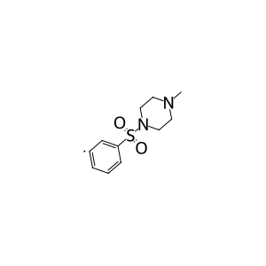 CN1CCN(S(=O)(=O)c2c[c]ccc2)CC1